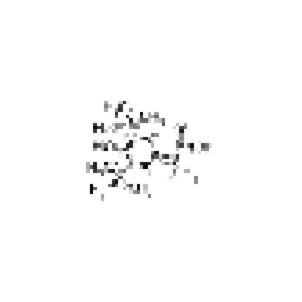 C[C@H](C(=O)O)c1cc(C(C)(C)C)c(O)c(C(C)(C)C)c1